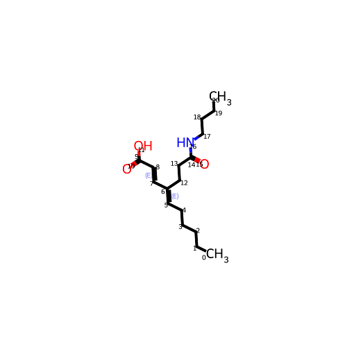 CCCCC/C=C(/C=C/C(=O)O)CCC(=O)NCCCC